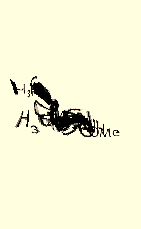 COC(=O)Nc1nc(C)c(S(=O)(=O)N2CCN(C[C@H](C)NC(=O)c3cccc(-c4ccc(C)nc4)c3)CC2)s1